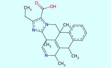 CCc1nc2n(c1C(=O)O)CC1(C)C3=C(C(C)N=CC32C)C(C)c2ccccc21